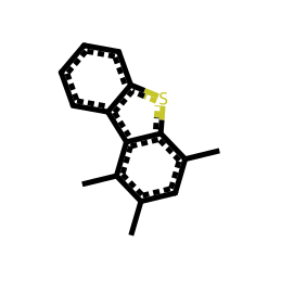 Cc1cc(C)c2sc3ccccc3c2c1C